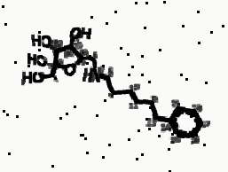 OC[C@]1(O)O[C@H](CNCCCCCCc2ccccc2)[C@H](O)[C@H]1O